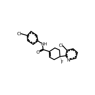 O=C(Nc1ccc(Cl)cc1)C1=CC[C@](F)(c2ncccc2Cl)CC1